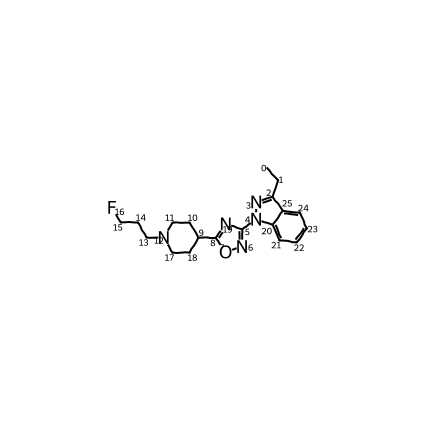 CCc1nn(-c2noc(C3CCN(CCCF)CC3)n2)c2ccccc12